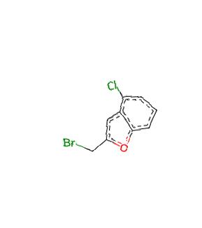 Clc1cccc2oc(CBr)cc12